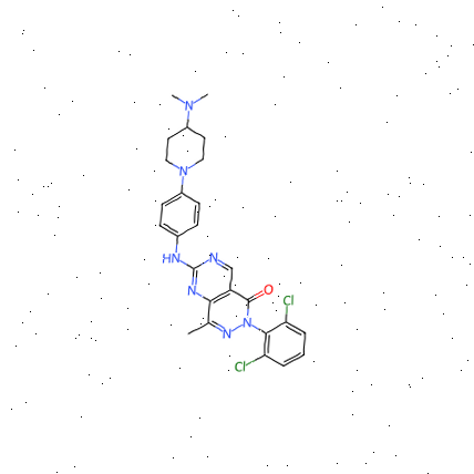 Cc1nn(-c2c(Cl)cccc2Cl)c(=O)c2cnc(Nc3ccc(N4CCC(N(C)C)CC4)cc3)nc12